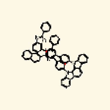 c1ccc(-c2nc(-c3ccc(-n4c5ccccc5c5ccc6c7ccccc7n(-c7ccc(-c8ccc(-c9cccc%10nc(-c%11ccccc%11)oc9%10)cc8)cc7)c6c54)cc3)nc(-c3ccc4ccccc4c3)n2)cc1